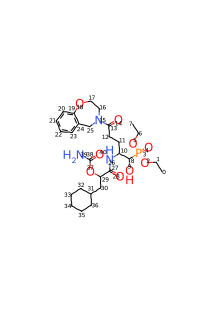 CCOP(=O)(OCC)C(O)C(CCC(=O)N1CCOc2ccccc2C1)NC(=O)C(CC1CCCCC1)OC(N)=O